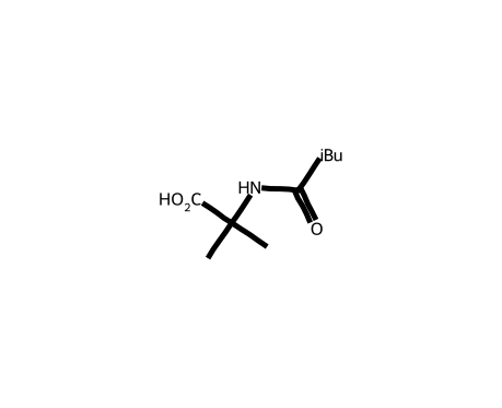 CCC(C)C(=O)NC(C)(C)C(=O)O